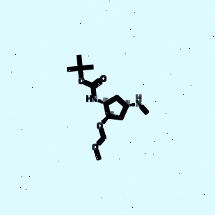 CN[C@H]1C[C@@H](NC(=O)OC(C)(C)C)[C@H](OCOC)C1